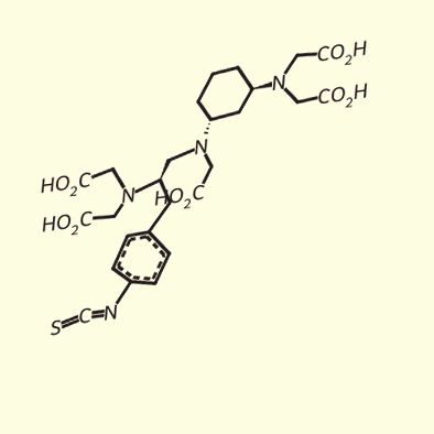 O=C(O)CN(CC(=O)O)[C@@H]1CCC[C@@H](N(CC(=O)O)C[C@@H](Cc2ccc(N=C=S)cc2)N(CC(=O)O)CC(=O)O)C1